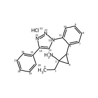 CCC1(N)CC1c1ccccc1-n1cc(-c2ccccc2)nn1.Cl